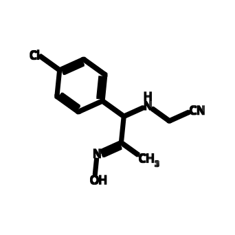 CC(=NO)C(NCC#N)c1ccc(Cl)cc1